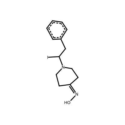 ON=C1CCN(C(I)Cc2ccccc2)CC1